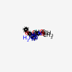 CC(C)(C)OC(=O)N1CC[C@@H](n2c(=O)n(-c3ccc(Oc4ccccc4)cc3)c3c(N)ncnc32)[C@H](F)C1